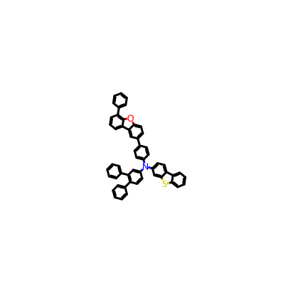 c1ccc(-c2ccc(N(c3ccc(-c4ccc5oc6c(-c7ccccc7)cccc6c5c4)cc3)c3ccc4c(c3)sc3ccccc34)cc2-c2ccccc2)cc1